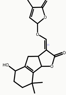 CC1=CC(O/C=C2/C(=O)OC3C4=C(CC23)C(O)CCC4(C)C)OC1=O